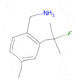 Cc1ccc(CN)c(C(C)(C)F)c1